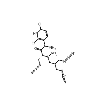 [N-]=[N+]=NCC(CN=[N+]=[N-])CN(N)[C@H](CN=[N+]=[N-])C(=O)N(N)C1=C(Cl)NC(Cl)C=C1